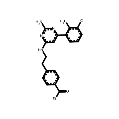 CCC(=O)c1ccc(CCNc2cc(-c3cccc(Cl)c3C)nc(N)n2)cc1